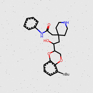 CCCCc1cccc2c1OCC(C(O)CC1(CC(=O)Nc3ccccc3)CCNCC1)O2